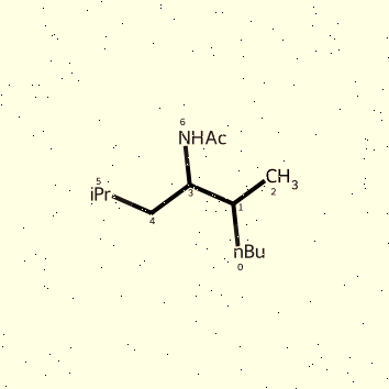 CCCCC(C)C(CC(C)C)NC(C)=O